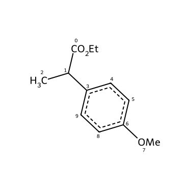 CCOC(=O)C(C)c1ccc(OC)cc1